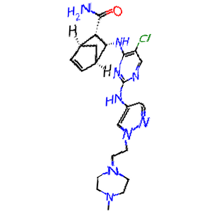 CN1CCN(CCn2cc(Nc3ncc(Cl)c(N[C@H]4[C@@H](C(N)=O)[C@@H]5C=C[C@H]4C5)n3)cn2)CC1